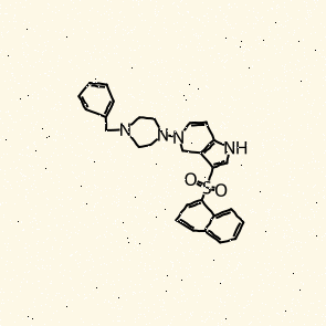 O=S(=O)(c1c[nH]c2c1CN(N1CCN(Cc3ccccc3)CC1)C=C2)c1cccc2ccccc12